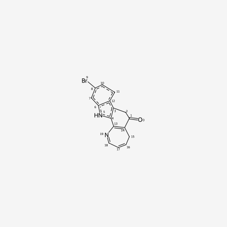 O=C1Cc2c([nH]c3cc(Br)ccc23)C2=C1CC=CC=N2